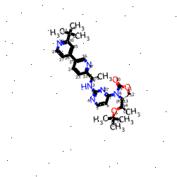 C[C@H](Nc1nccc(N2C(=O)OC[C@@H]2[C@@H](C)OC(C)(C)C)n1)c1ccc(-c2ccnc(C(C)(C)C)c2)cn1